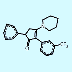 O=C1C(c2cccc(C(F)(F)F)c2)=C(N2CCCCC2)CC1c1ccccc1